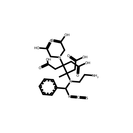 CC(CC(=O)O)(N(CCN)C(N=C=S)c1ccccc1)C(CC(=O)O)(CC(=O)O)N(CC(=O)O)CC(=O)O